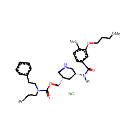 COCCCOc1cc(C(=O)N(C(C)C)[C@H]2CNC[C@@H](COC(=O)N(CCc3ccccc3)CCC(C)C)C2)ccc1OC.Cl